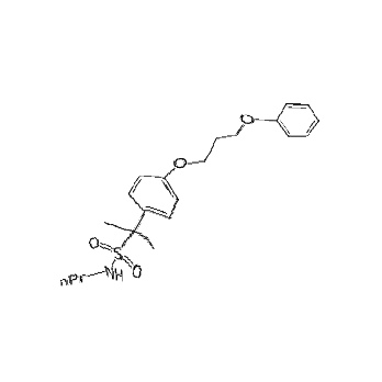 CCCNS(=O)(=O)C(C)(C)c1ccc(OCCCOc2ccccc2)cc1